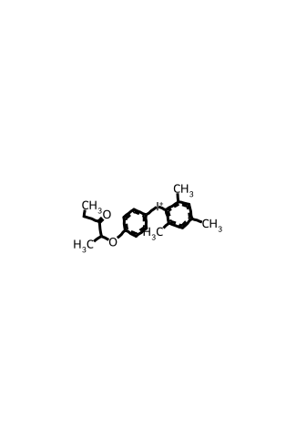 CCC(=O)C(C)Oc1ccc([I+]c2c(C)cc(C)cc2C)cc1